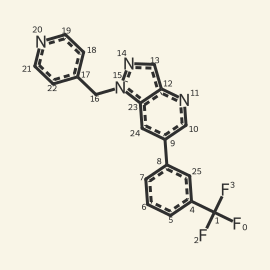 FC(F)(F)c1cccc(-c2cnc3cnn(Cc4ccncc4)c3c2)c1